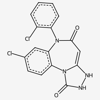 O=C1NNC2=CC(=O)N(c3ccccc3Cl)c3cc(Cl)ccc3N12